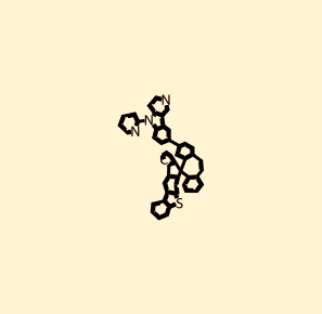 C1=Cc2ccc(-c3ccc4c(c3)c3cnccc3n4-c3ccccn3)cc2C2(c3ccccc31)c1ccccc1-c1cc3c(cc12)sc1ccccc13